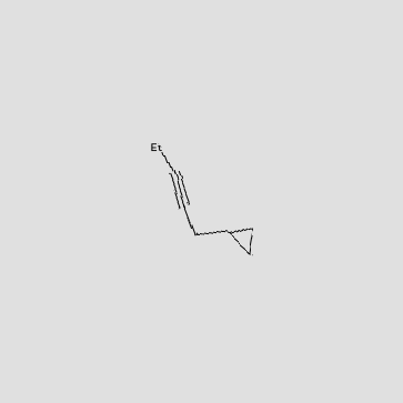 CCC#CCC1[CH]C1